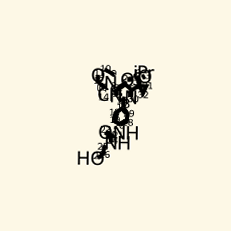 CC(C)S(=O)(=O)C1(c2cc(N3CCOC[C@@H]3C)nc(-c3ccc(NC(=O)NCCO)cc3)n2)CC1